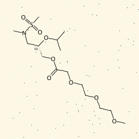 COCCOCCOCC(=O)OC[C@H](CN(C)S(C)(=O)=O)OC(C)C